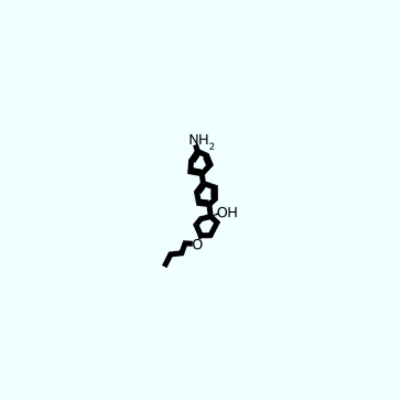 CCCCO[C@H]1CC[C@@](O)(c2ccc(-c3ccc(N)cc3)cc2)CC1